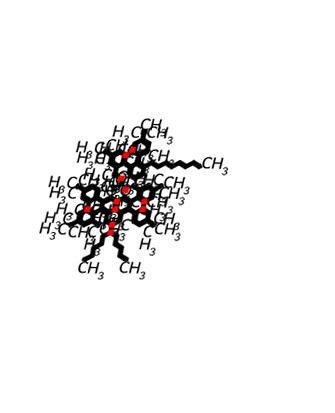 CCCCCCCCCc1ccc(OP(Oc2ccc(CCCCCCCCC)c(-c3c(C)cc(C(C)(C)C)cc3C(C)(C)C)c2-c2c(C)cc(C(C)(C)C)cc2C(C)(C)C)Oc2ccc(CCCCCCCCC)c(-c3c(C)cc(C(C)(C)C)cc3C(C)(C)C)c2-c2c(C)cc(C(C)(C)C)cc2C(C)(C)C)c(-c2c(C)cc(C(C)(C)C)cc2C(C)(C)C)c1-c1c(C)cc(C(C)(C)C)cc1C(C)(C)C